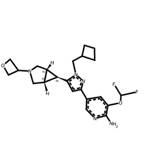 Nc1ncc(-c2cc([C@H]3[C@@H]4CN(C5COC5)C[C@@H]43)n(CC3CCC3)n2)cc1OC(F)F